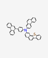 c1ccc2c(c1)ccc1cc(N(c3ccc(-c4cc5ccccc5c5ccccc45)cc3)c3ccc4ccc5c6ccccc6sc5c4c3)ccc12